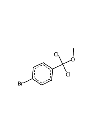 COC(Cl)(Cl)c1ccc(Br)cc1